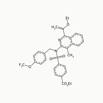 C=C(OCC)c1nc(N(Cc2ccc(OC(F)(F)F)cc2)S(=O)(=O)c2ccc(C(=O)OCC)cc2)c(C)c2ccccc12